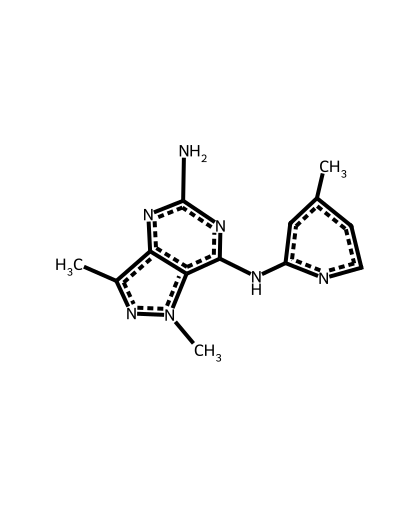 Cc1ccnc(Nc2nc(N)nc3c(C)nn(C)c23)c1